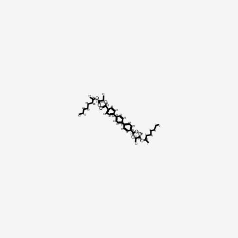 CCCCCCC(C)OC(=O)C(C)OC(=O)c1ccc(-c2ccc(-c3ccc(C(=O)OC(C)C(=O)OC(C)CCCCCC)cc3)cc2)cc1